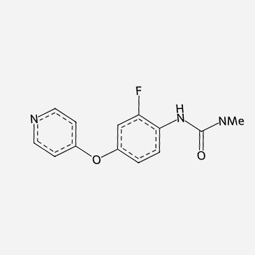 CNC(=O)Nc1ccc(Oc2ccncc2)cc1F